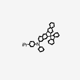 CC(C)c1ccc(N(c2ccccc2)c2ccc3cc4c(cc3c2)C2(c3ccccc3-c3ccccc32)c2cc3ccccc3cc2-4)cc1